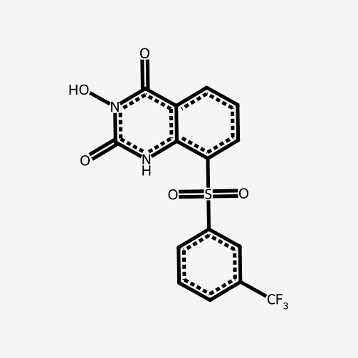 O=c1[nH]c2c(S(=O)(=O)c3cccc(C(F)(F)F)c3)cccc2c(=O)n1O